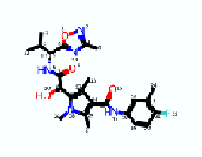 Cc1noc([C@H](NC(=O)C(O)c2c(C)c(C(=O)Nc3ccc(F)c(C)c3)c(C)n2C)C(C)C)n1